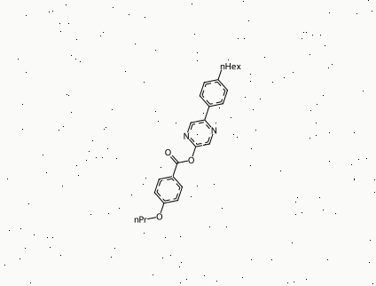 CCCCCCc1ccc(-c2cnc(OC(=O)c3ccc(OCCC)cc3)cn2)cc1